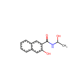 CC(O)NC(=O)c1cc2ccccc2cc1O